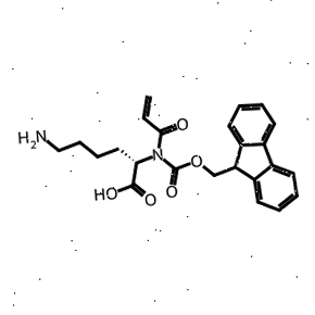 C=CC(=O)N(C(=O)OCC1c2ccccc2-c2ccccc21)[C@@H](CCCCN)C(=O)O